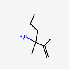 C=C(C)C(C)(N)CCC